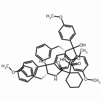 COc1ccc(C(O)(c2ccc(OC)cc2)[C@@H](Cc2ccccc2)NC(=O)C2(C(=O)N[C@H](Cc3ccccc3)C(O)(c3ccc(OC)cc3)c3ccc(OC)cc3)CCCCC2)cc1